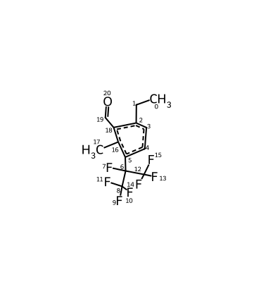 CCc1ccc(C(F)(C(F)(F)F)C(F)(F)F)c(C)c1C=O